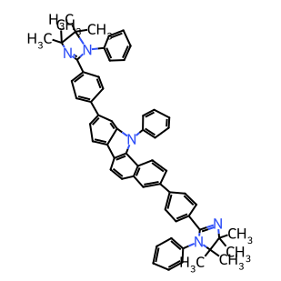 CC1(C)N=C(c2ccc(-c3ccc4c(ccc5c6ccc(-c7ccc(C8=NC(C)(C)C(C)(C)N8c8ccccc8)cc7)cc6n(-c6ccccc6)c45)c3)cc2)N(c2ccccc2)C1(C)C